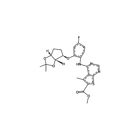 COC(=O)c1sc2ncnc(Nc3ccc(F)cc3O[C@@H]3CC[C@H]4OC(C)(C)O[C@@H]34)c2c1C